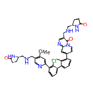 COc1cc(-c2cccc(-c3cccc(-c4ccn5c(=O)c(CNC[C@H]6CCC(=O)N6)cnc5c4)c3C)c2Cl)ncc1CNC[C@H]1CCC(=O)N1